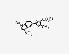 CCOC(=O)c1sc(-c2ccc3c(c2)c([N+](=O)[O-])cn3C(C)CC)nc1C